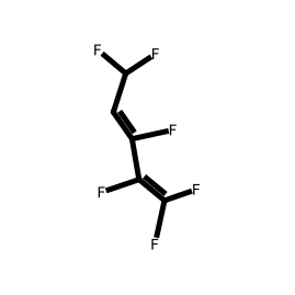 FC(=CC(F)F)C(F)=C(F)F